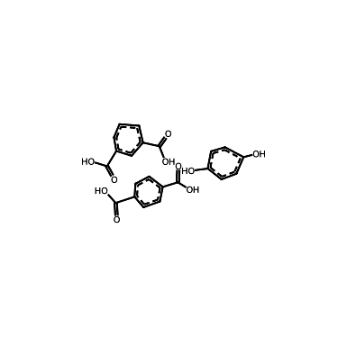 O=C(O)c1ccc(C(=O)O)cc1.O=C(O)c1cccc(C(=O)O)c1.Oc1ccc(O)cc1